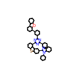 c1ccc(-c2nc(-c3cccc(-c4cccc5c4oc4ccccc45)c3)nc(-c3cccc4sc5ccc(-c6nc7ccccc7n6-c6ccccc6)cc5c34)n2)cc1